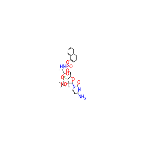 C[C@H](NP(=O)(OC[C@H]1O[C@@H](n2ccc(N)nc2=O)[C@](C)(O)[C@@H]1F)Oc1cccc2ccccc12)C(=O)OCC(C)(C)C